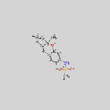 C=CC1=Cc2ccc(NS(C)(=O)=O)cc2OC1(C)C